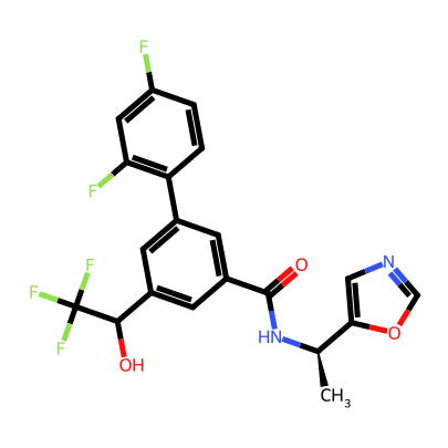 C[C@@H](NC(=O)c1cc(-c2ccc(F)cc2F)cc(C(O)C(F)(F)F)c1)c1cnco1